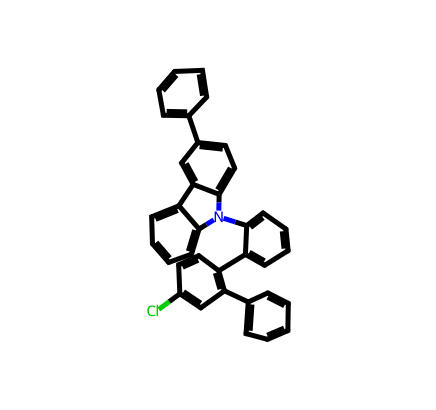 Clc1ccc(-c2ccccc2-n2c3ccccc3c3cc(-c4ccccc4)ccc32)c(-c2ccccc2)c1